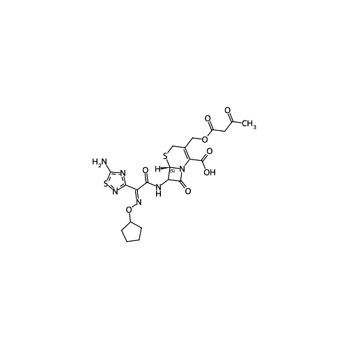 CC(=O)CC(=O)OCC1=C(C(=O)O)N2C(=O)C(NC(=O)C(=NOC3CCCC3)c3nsc(N)n3)[C@@H]2SC1